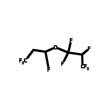 FC(CC(F)(F)F)OC(F)(F)C(F)C(F)(F)F